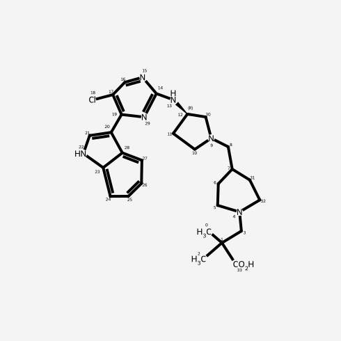 CC(C)(CN1CCC(CN2CC[C@@H](Nc3ncc(Cl)c(-c4c[nH]c5ccccc45)n3)C2)CC1)C(=O)O